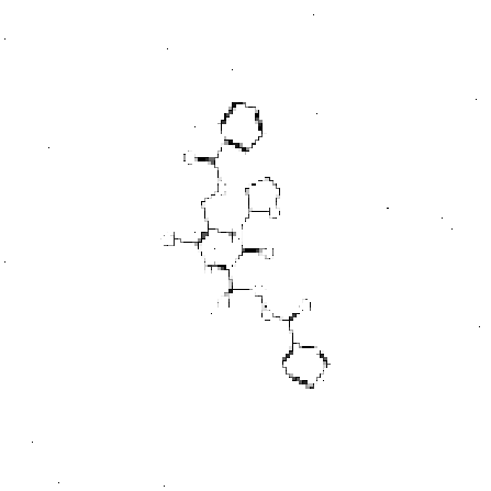 O=C(OCc1c(Cl)nc(C(=O)OOC(=O)c2ccccc2)c(=O)n1C1CCCO1)c1ccccc1